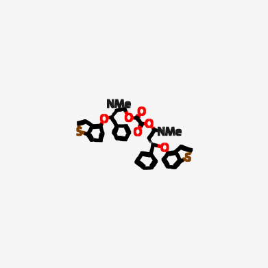 CNC(C[C@H](Oc1cccc2sccc12)c1ccccc1)OC(=O)C(=O)OC(C[C@H](Oc1cccc2sccc12)c1ccccc1)NC